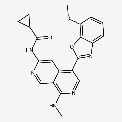 CNc1ncc(-c2nc3cccc(OC)c3o2)c2cc(NC(=O)C3CC3)ncc12